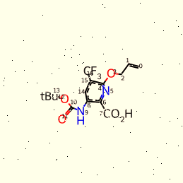 C=CCOc1nc(C(=O)O)c(NC(=O)OC(C)(C)C)cc1C(F)(F)F